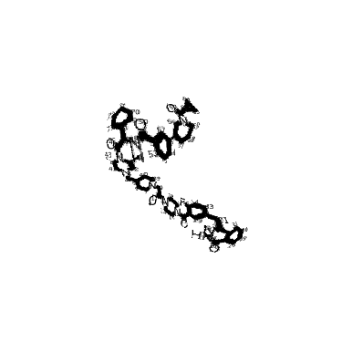 C[C@H]1CN(CC2CCN(CC(=O)N3CCN(C(=O)c4cc(Cc5n[nH]c(=O)c6ccccc56)ccc4F)CC3)CC2)C[C@H](C)N1C(=O)[C@H](NC(=O)c1cccc([C@@H]2CCCN(C(=O)C3CC3)C2)c1)C1CCCCC1